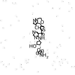 Cc1cnn2c1C(c1csc(C(=O)c3cncnc3NC3C[C@H](COS(N)(=O)=O)[C@@H](O)C3)c1)OCC2